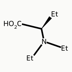 CC[C@H](C(=O)O)N(CC)CC